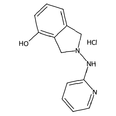 Cl.Oc1cccc2c1CN(Nc1ccccn1)C2